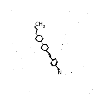 CCCC[C@H]1CC[C@H](C2CCC(C#Cc3ccc(C#N)cc3)CC2)CC1